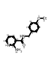 CCOc1ccc(CNC(=O)c2cccnc2N)cc1